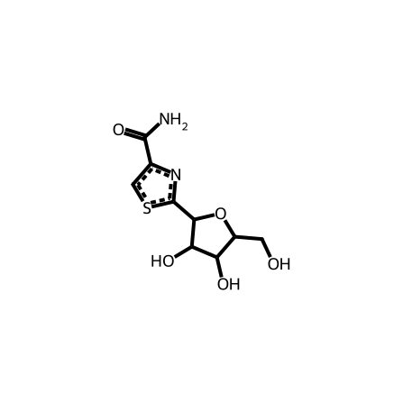 NC(=O)c1csc(C2OC(CO)C(O)C2O)n1